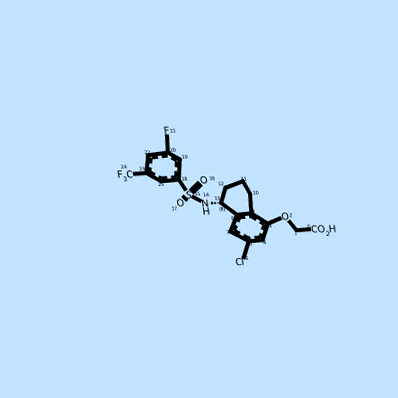 O=C(O)COc1cc(Cl)cc2c1CCC[C@H]2NS(=O)(=O)c1cc(F)cc(C(F)(F)F)c1